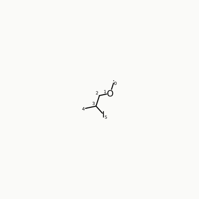 [CH2]OCC(C)I